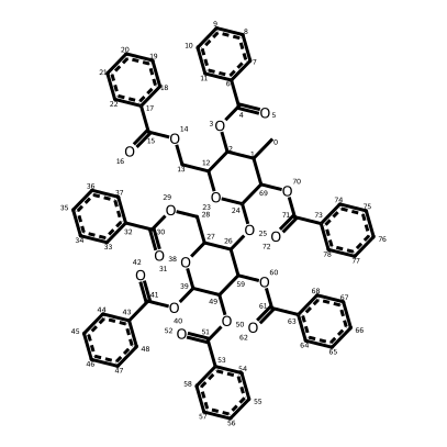 CC1C(OC(=O)c2ccccc2)C(COC(=O)c2ccccc2)OC(OC2C(COC(=O)c3ccccc3)OC(OC(=O)c3ccccc3)C(OC(=O)c3ccccc3)C2OC(=O)c2ccccc2)C1OC(=O)c1ccccc1